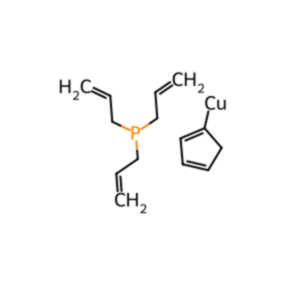 C=CCP(CC=C)CC=C.[Cu][C]1=CC=CC1